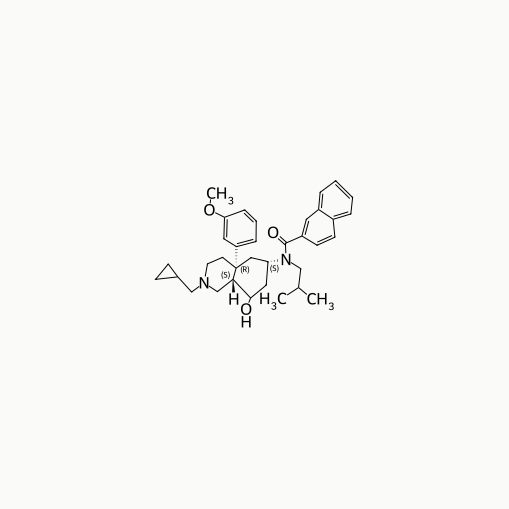 COc1cccc([C@@]23CCN(CC4CC4)C[C@H]2C(O)C[C@@H](N(CC(C)C)C(=O)c2ccc4ccccc4c2)C3)c1